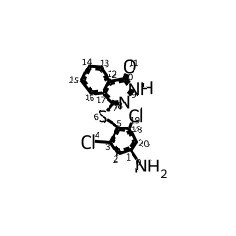 Nc1cc(Cl)c(Sc2n[nH]c(=O)c3ccccc23)c(Cl)c1